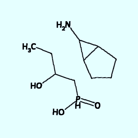 CCC(O)C[PH](=O)O.NC1C2CCCC12